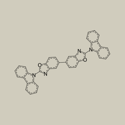 c1ccc2c(c1)c1ccccc1n2-c1nc2cc(-c3ccc4oc(-n5c6ccccc6c6ccccc65)nc4c3)ccc2o1